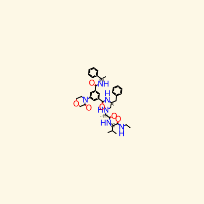 CCNC(=O)[C@@H](NC(=O)[C@H](C)NC[C@H](Cc1ccccc1)NC(=O)c1cc(C(=O)N[C@H](C)c2ccccc2)cc(N2CCOCC2=O)c1)C(C)C